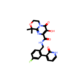 CC1(C)OCCn2c1nc(C(=O)NCc1ccc(F)cc1-c1ccc[nH]c1=O)c(O)c2=O